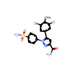 COc1c(Cl)cc(-c2cc(C(N)=O)nn2-c2ccc(S(N)(=O)=O)cc2)cc1Cl